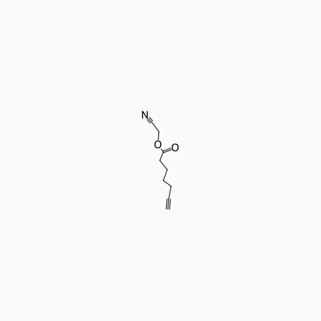 C#CCCCCC(=O)OCC#N